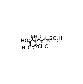 O=Cc1cc(O)c(O)c(C=O)c1CCCCC(=O)O